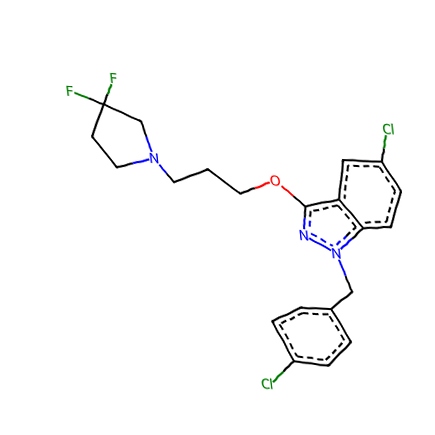 FC1(F)CCN(CCCOc2nn(Cc3ccc(Cl)cc3)c3ccc(Cl)cc23)C1